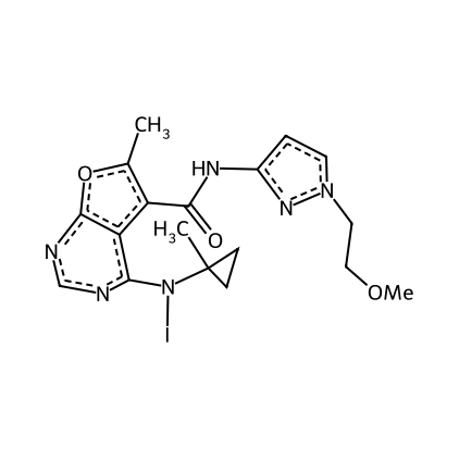 COCCn1ccc(NC(=O)c2c(C)oc3ncnc(N(I)C4(C)CC4)c23)n1